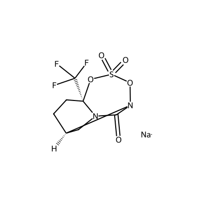 O=C1N2OS(=O)(=O)O[C@]3(C(F)(F)F)CC[C@@H]2CN13.[Na]